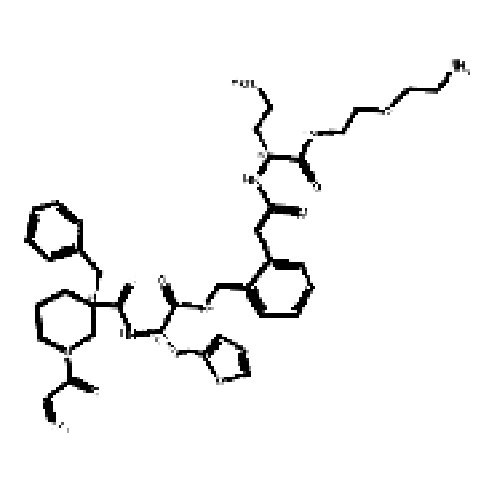 C=CC(=O)N1CCC[C@](Cc2ccccc2)(C(=O)N[C@@H](Cc2ccco2)C(=O)NCc2ccccc2CC(=O)N[C@@H](CCNC(C)=O)C(=O)NCCOCCN)C1